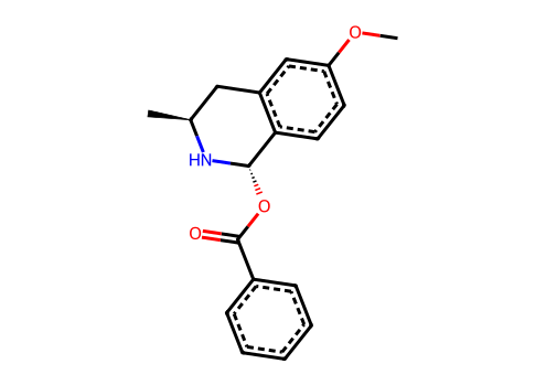 COc1ccc2c(c1)C[C@H](C)N[C@H]2OC(=O)c1ccccc1